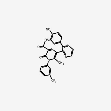 COC(=O)c1nc(-c2nccnc2-c2ccc(C#N)cc2)c(C)n(-c2cccc(C(F)(F)F)c2)c1=O